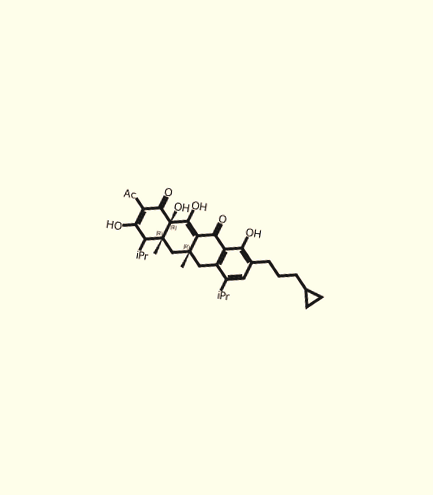 CC(=O)C1=C(O)C(C(C)C)[C@@]2(C)C[C@@]3(C)Cc4c(C(C)C)cc(CCCC5CC5)c(O)c4C(=O)C3=C(O)[C@@]2(O)C1=O